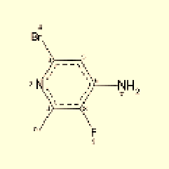 Cc1nc(Br)cc(N)c1F